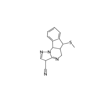 CSC1c2ccccc2C2C1CN=C1C(C#N)C=NN12